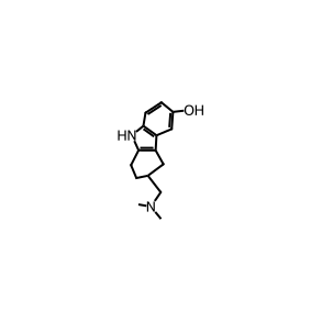 CN(C)CC1CCc2[nH]c3ccc(O)cc3c2C1